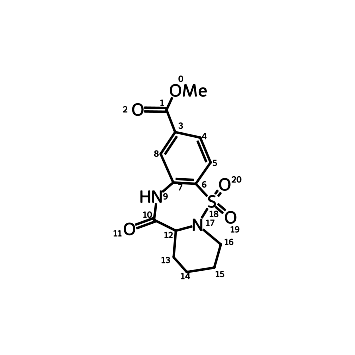 COC(=O)c1ccc2c(c1)NC(=O)C1CCCCN1S2(=O)=O